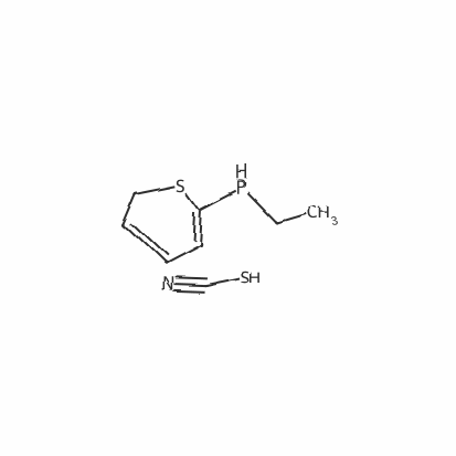 CCPC1=CC=CCS1.N#CS